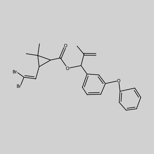 C=C(C)C(OC(=O)C1C(C=C(Br)Br)C1(C)C)c1cccc(Oc2ccccc2)c1